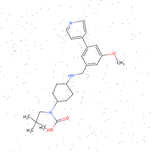 COc1cc(CNC2CCC(N(CC(C)(C)C)C(=O)O)CC2)cc(-c2ccncc2)c1